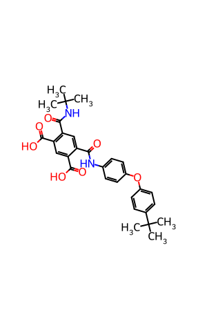 CC(C)(C)NC(=O)c1cc(C(=O)Nc2ccc(Oc3ccc(C(C)(C)C)cc3)cc2)c(C(=O)O)cc1C(=O)O